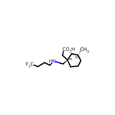 C[C@@H]1CCC[C@](CNCCCC(F)(F)F)(CC(=O)O)C1